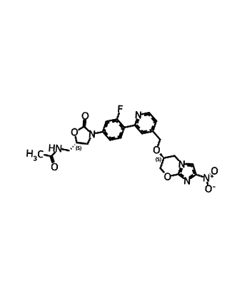 CC(=O)NC[C@H]1CN(c2ccc(-c3cc(CO[C@@H]4COc5nc([N+](=O)[O-])cn5C4)ccn3)c(F)c2)C(=O)O1